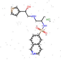 CC(CNCC(O)c1ccsc1)NS(=O)(=O)c1ccc2cnccc2c1.Cl